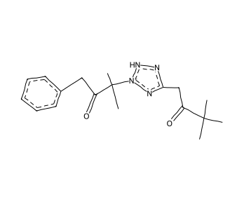 CC(C)(C)C(=O)Cc1n[nH][n+](C(C)(C)C(=O)Cc2ccccc2)n1